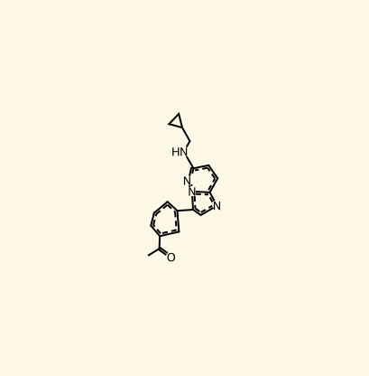 CC(=O)c1cccc(-c2cnc3ccc(NCC4CC4)nn23)c1